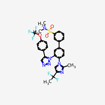 Cc1nc(C(C)(F)F)cn1-c1ccc(-c2cccc(S(=O)(=O)N(C)C)c2)cc1-n1nncc1-c1ccc(OC(F)(F)F)cc1